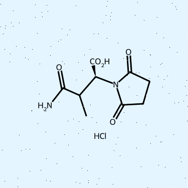 CC(C(N)=O)[C@@H](C(=O)O)N1C(=O)CCC1=O.Cl